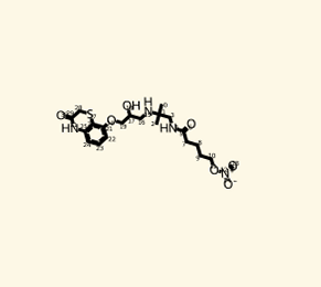 CC(C)(CNC(=O)CCCCO[N+](=O)[O-])NCC(O)COc1cccc2c1SCC(=O)N2